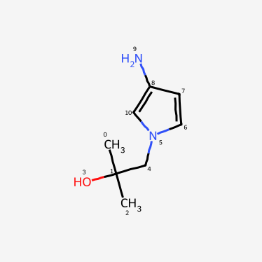 CC(C)(O)Cn1ccc(N)c1